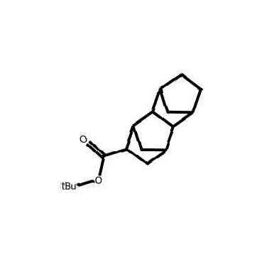 CC(C)(C)OC(=O)C1CC2CC1C1C3CCC(C3)C21